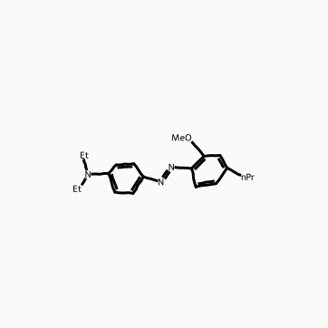 CCCc1ccc(/N=N/c2ccc(N(CC)CC)cc2)c(OC)c1